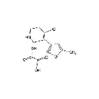 Cc1cc(C2=C(Cl)CCNC2)no1.O=C(O)C(=O)O